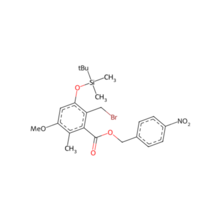 COc1cc(O[Si](C)(C)C(C)(C)C)c(CBr)c(C(=O)OCc2ccc([N+](=O)[O-])cc2)c1C